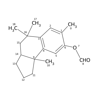 Cc1cc2c(cc1OC=O)C1(C)CCCC1CC2(C)C